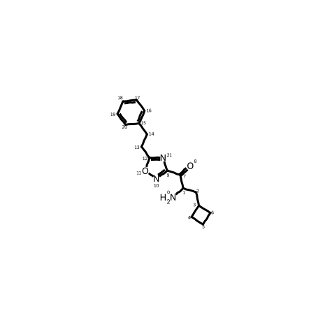 NC(CC1CCC1)C(=O)c1noc(CCc2ccccc2)n1